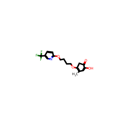 CC1=C(OCCCCOc2ccc(C(F)(F)F)cn2)CC(=O)C(O)=C1